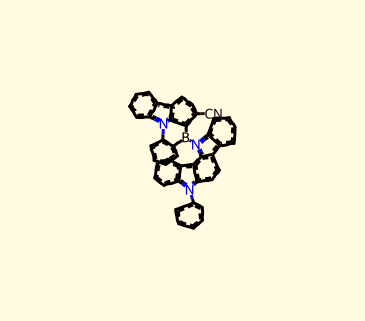 N#Cc1ccc2c3ccccc3n3c2c1B(n1c2ccccc2c2ccc4c(c5ccccc5n4-c4ccccc4)c21)c1ccccc1-3